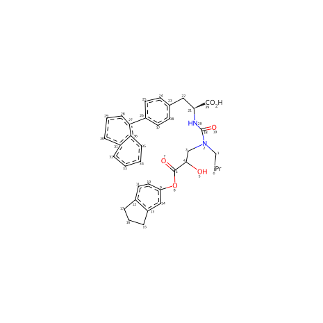 CC(C)CN(CC(O)C(=O)Oc1ccc2c(c1)CCC2)C(=O)N[C@@H](Cc1ccc(-c2cccc3ccccc23)cc1)C(=O)O